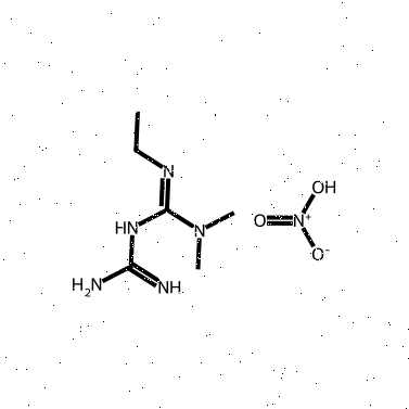 CC/N=C(\NC(=N)N)N(C)C.O=[N+]([O-])O